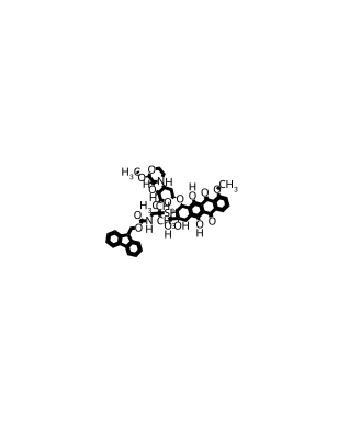 COc1cccc2c1C(=O)c1c(O)c3c(c(O)c1C2=O)C[C@@](O)(C(O)=[SH]C(C)(C)CNC(=O)OCC1c2ccccc2-c2ccccc21)C[C@@H]3O[C@H]1C[C@H]2[C@H](O[C@@H]3[C@@H](OC)OCCN32)[C@H](C)O1